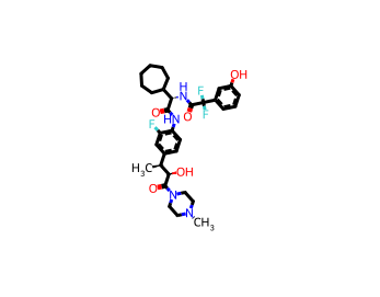 C[C@@H](c1ccc(NC(=O)[C@@H](NC(=O)C(F)(F)c2cccc(O)c2)C2CCCCCC2)c(F)c1)[C@@H](O)C(=O)N1CCN(C)CC1